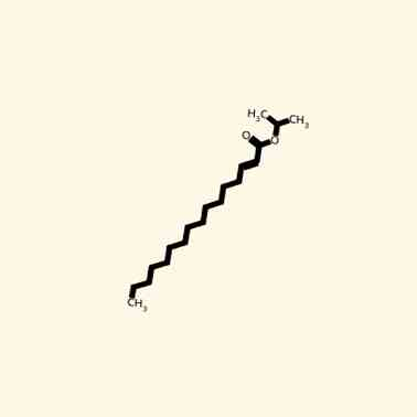 CCCCCCCCCCCCCC=CC(=O)OC(C)C